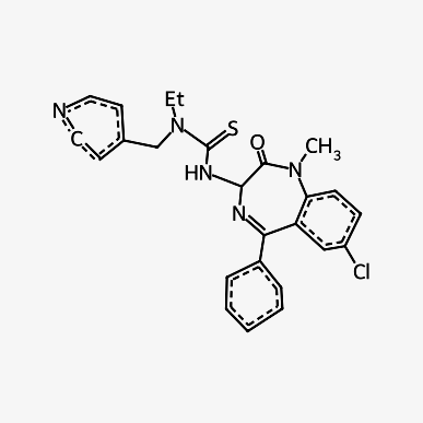 CCN(Cc1ccncc1)C(=S)NC1N=C(c2ccccc2)c2cc(Cl)ccc2N(C)C1=O